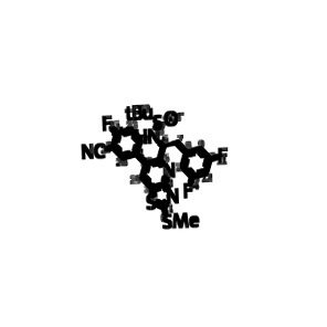 CSc1nc2nc([C@H](Cc3cc(F)cc(F)c3)N[S+]([O-])C(C)(C)C)c(-c3ccc(F)c(C#N)c3)cc2s1